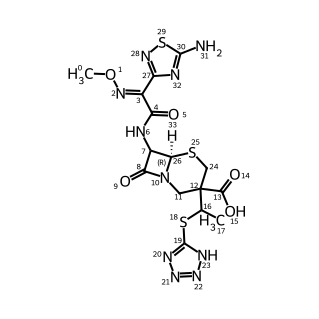 CON=C(C(=O)NC1C(=O)N2CC(C(=O)O)(C(C)Sc3nnn[nH]3)CS[C@H]12)c1nsc(N)n1